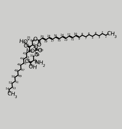 CCCCCCCCCC=CC=CC=CC=CC=CC=CC(=O)O[C@@H](CO)C(OP(=O)(O)OC[C@H](N)C(=O)O)C(=O)CCCCCCCCCCCCCCC